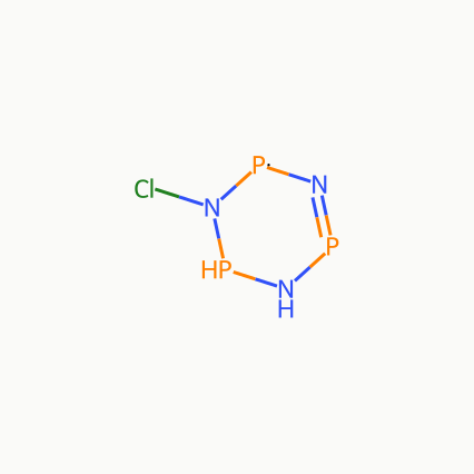 ClN1[P]N=PNP1